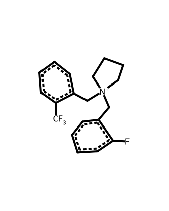 Fc1ccccc1C[N+]1(Cc2ccccc2C(F)(F)F)CCCC1